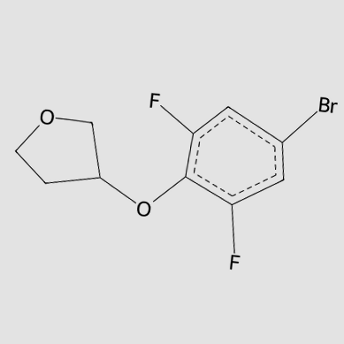 Fc1cc(Br)cc(F)c1OC1CCOC1